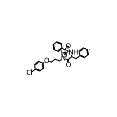 O=C(NCCCOc1ccc(Cl)cc1)C(Cc1cc[c]cc1)NS(=O)(=O)c1ccccc1